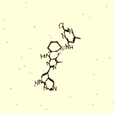 Cc1cc(N[C@H]2CCC[C@@H](Nc3nc(-c4c[nH]c5ncncc45)nc(C)c3F)C2)nc(Cl)n1